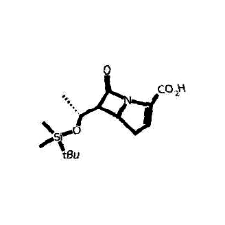 C[C@@H](O[Si](C)(C)C(C)(C)C)C1C(=O)N2C(C(=O)O)=CCC12